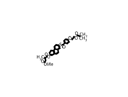 C=C(C)C(=O)OCCOc1ccc(C(=O)Sc2ccc3c(ccc4cc(OC(=O)C(=C)CC(=O)OC)ccc43)c2)cc1